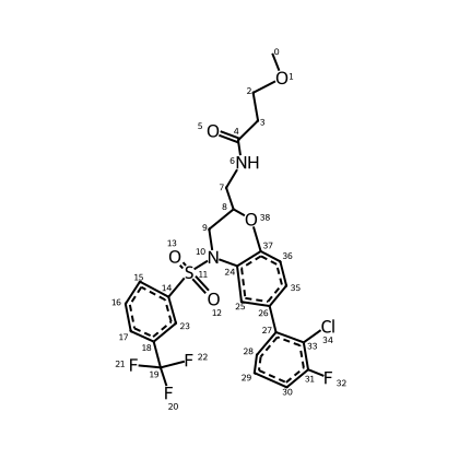 COCCC(=O)NCC1CN(S(=O)(=O)c2cccc(C(F)(F)F)c2)c2cc(-c3cccc(F)c3Cl)ccc2O1